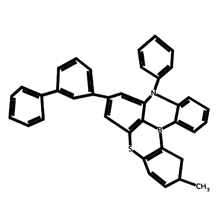 CC1C=CC2=C(C1)B1c3ccccc3N(c3ccccc3)c3cc(-c4cccc(-c5ccccc5)c4)cc(c31)S2